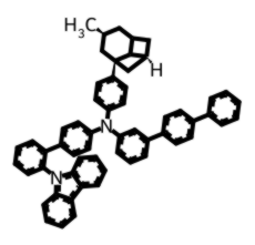 C[C@H]1CC2C[C@H]3C[C@](c4ccc(N(c5ccc(-c6ccccc6-n6c7ccccc7c7ccccc76)cc5)c5cccc(-c6ccc(-c7ccccc7)cc6)c5)cc4)(C1)C23